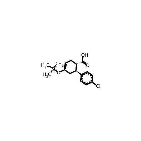 C[Si](C)(C)OC1=CC[C@H](C(=O)O)[C@@H](c2ccc(Cl)cc2)C1